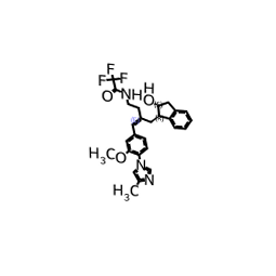 COc1cc(/C=C(/CCNC(=O)C(F)(F)F)C[C@@H]2c3ccccc3C[C@@H]2O)ccc1-n1cnc(C)c1